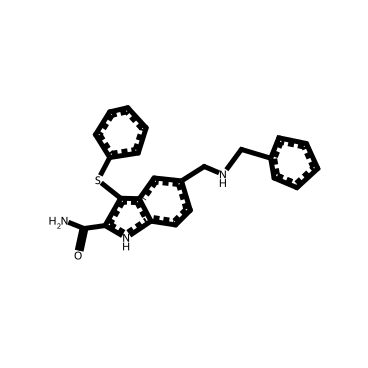 NC(=O)c1[nH]c2ccc(CNCc3ccccc3)cc2c1Sc1ccccc1